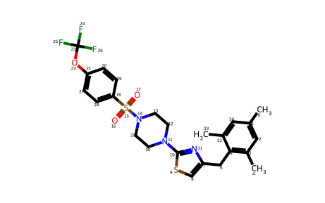 Cc1cc(C)c(Cc2csc(N3CCN(S(=O)(=O)c4ccc(OC(F)(F)F)cc4)CC3)n2)c(C)c1